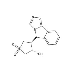 O=S1(=O)C[C@@H](O)[C@H](C2c3ccccc3-c3cncn32)C1